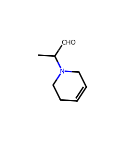 CC(C=O)N1CC=CCC1